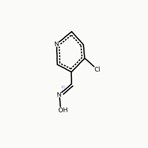 O/N=C/c1cnccc1Cl